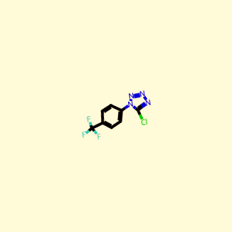 FC(F)(F)c1ccc(-n2nnnc2Cl)cc1